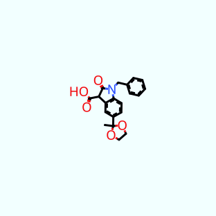 CC1(c2ccc3c(c2)C(C(=O)O)C(=O)N3Cc2ccccc2)OCCO1